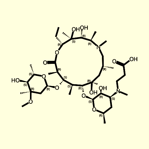 CC[C@H]1OC(=O)[C@H](C)[C@@H](O[C@H]2C[C@@](C)(OC)[C@@H](O)[C@H](C)O2)[C@H](C)[C@@H](O[C@@H]2O[C@H](C)C[C@H](N(C)CCC(=O)O)[C@H]2O)[C@](C)(O)C[C@@H](C)CN(C)[C@H](C)[C@@H](O)[C@]1(C)O